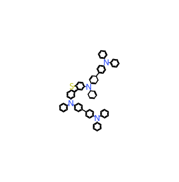 C1=CCC(N(C2=CCC(c3ccc(N(c4ccccc4)c4ccccc4)cc3)C=C2)c2ccc3sc4ccc(N(c5ccccc5)c5ccc(-c6ccc(N(c7ccccc7)c7ccccc7)cc6)cc5)cc4c3c2)C=C1